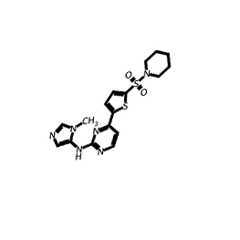 Cn1cncc1Nc1nccc(-c2ccc(S(=O)(=O)N3CCCCC3)s2)n1